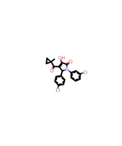 CC1(C(=O)C2=C(O)C(=O)N(c3cccc(Cl)c3)C2c2ccc(Cl)cc2)CC1